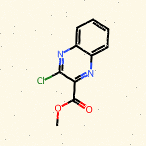 COC(=O)c1nc2ccccc2nc1Cl